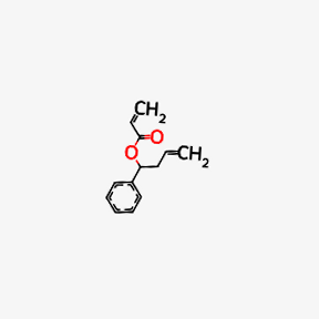 C=CCC(OC(=O)C=C)c1ccccc1